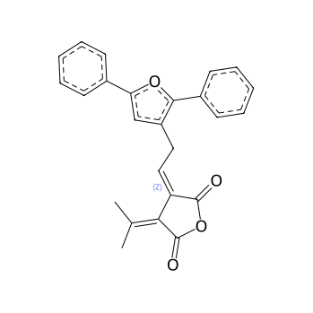 CC(C)=C1C(=O)OC(=O)/C1=C\Cc1cc(-c2ccccc2)oc1-c1ccccc1